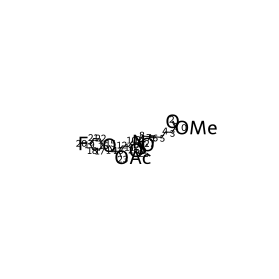 COC(=O)CCCC#CCN(CCCC(COc1ccc(F)cc1)OC(C)=O)S(C)(=O)=O